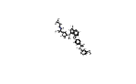 COc1ccnc(NC(=O)c2ccc(Oc3ccnc4[nH]nc(N[C@@H]5CCN(C(O)/C=C/CN(C)C)C5)c34)cc2)c1